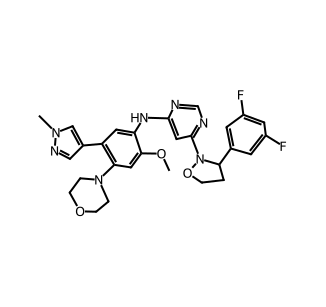 COc1cc(N2CCOCC2)c(-c2cnn(C)c2)cc1Nc1cc(N2OCCC2c2cc(F)cc(F)c2)ncn1